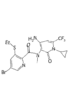 CCSc1cc(Br)cnc1C(=O)N(C)c1c(N)cc(C(F)(F)F)n(C2CC2)c1=O